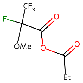 CCC(=O)OC(=O)C(F)(OC)C(F)(F)F